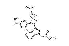 CCOC(=O)Cn1nc(C2CC3(C2)CN(C(C)=O)C3)c2c(-c3cc4c(cnn4C)cc3F)cccc21